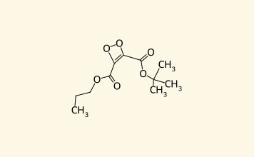 CCCOC(=O)c1ooc1C(=O)OC(C)(C)C